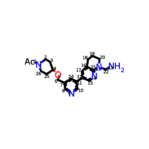 CC(=O)N1CCC(OCc2cncc(-c3cnc4c(c3)CCCN4CN)c2)CC1